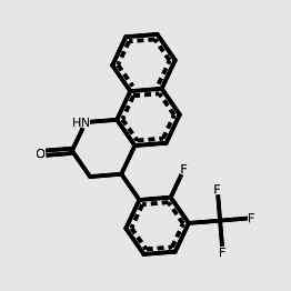 O=C1CC(c2cccc(C(F)(F)F)c2F)c2ccc3ccccc3c2N1